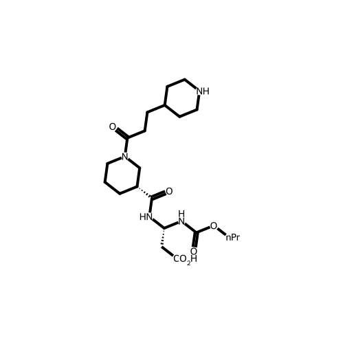 CCCOC(=O)N[C@H](CC(=O)O)NC(=O)[C@@H]1CCCN(C(=O)CCC2CCNCC2)C1